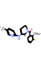 COc1c(F)cccc1C(=O)N1CCC[C@H](Nc2ccc(C(F)(F)F)cn2)[C@H]1C